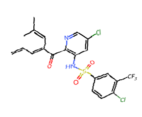 C=C/C=C(\C=C(C)C)C(=O)c1ncc(Cl)cc1NS(=O)(=O)c1ccc(Cl)c(C(F)(F)F)c1